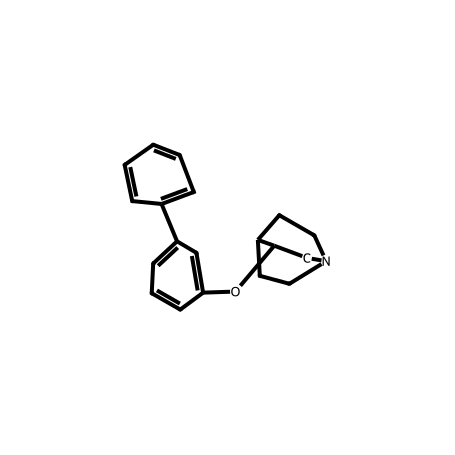 c1ccc(-c2cccc(OC3CN4CCC3CC4)c2)cc1